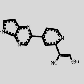 CC(C)(C)C=C(C#N)c1cc(-c2cnc3[nH]ccc3n2)ccn1